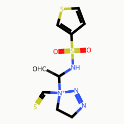 O=CC(NS(=O)(=O)c1ccsc1)[N+]1(C=S)CCN=N1